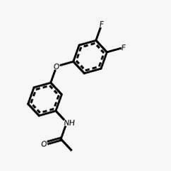 CC(=O)Nc1cccc(Oc2ccc(F)c(F)c2)c1